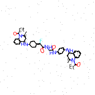 CCC(=O)N1c2ccccc2[C@H](Nc2ccc(NC(=O)CNC(=O)C(F)=C3CCC(N[C@@H]4C[C@H](C)N(C(=O)CC)c5ccccc54)CC3)cc2)C[C@@H]1C